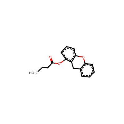 O=C(O)CCC(=O)Oc1cccc2c1Cc1ccccc1O2